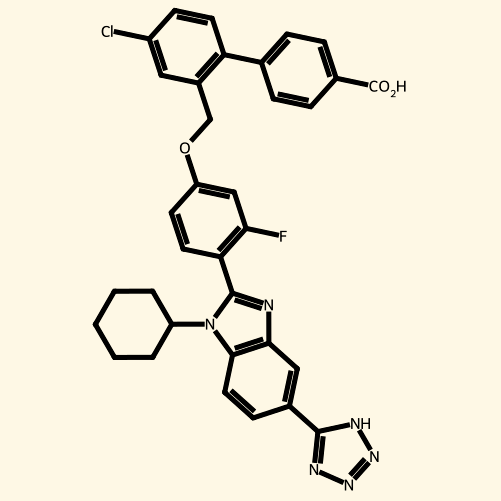 O=C(O)c1ccc(-c2ccc(Cl)cc2COc2ccc(-c3nc4cc(-c5nnn[nH]5)ccc4n3C3CCCCC3)c(F)c2)cc1